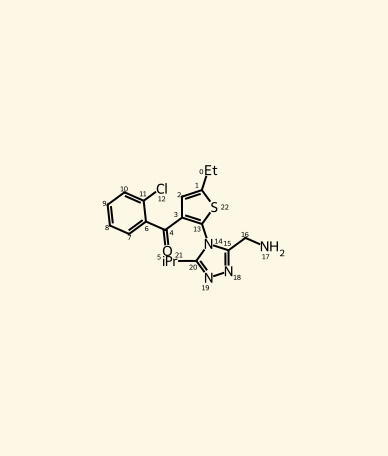 CCc1cc(C(=O)c2ccccc2Cl)c(-n2c(CN)nnc2C(C)C)s1